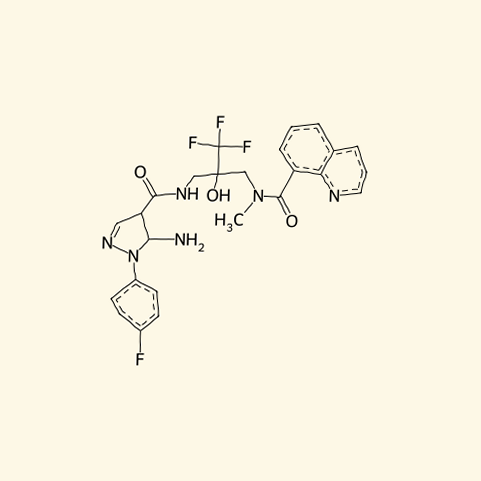 CN(CC(O)(CNC(=O)C1C=NN(c2ccc(F)cc2)C1N)C(F)(F)F)C(=O)c1cccc2cccnc12